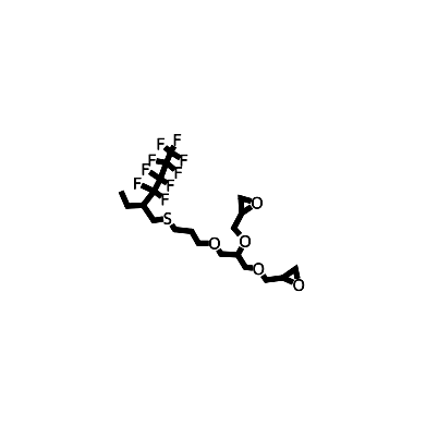 CCC(CSCCCOCC(COCC1CO1)OCC1CO1)C(F)(F)C(F)(F)C(F)(F)C(F)(F)F